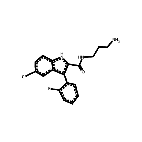 NCCCNC(=O)c1[nH]c2ccc(Cl)cc2c1-c1ccccc1F